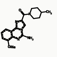 COc1cccc2c1nc(N)n1cc(C(=O)N3CCC(C)CC3)nc21